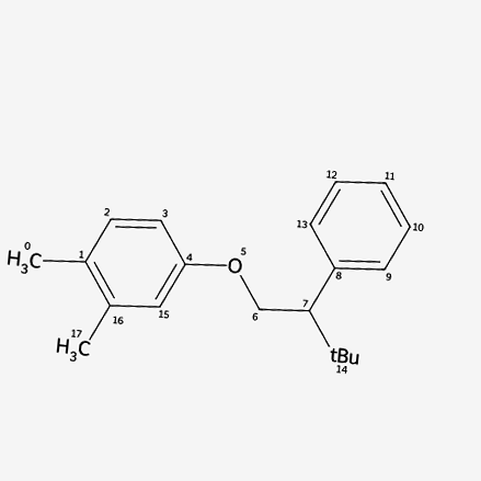 Cc1ccc(OCC(c2ccccc2)C(C)(C)C)cc1C